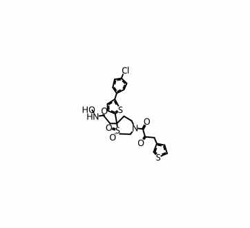 O=C(CC1(c2ccc(-c3ccc(Cl)cc3)s2)CCN(C(=O)C(=O)Cc2ccsc2)CCS1(=O)=O)NO